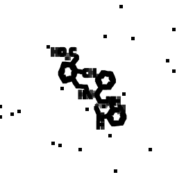 Cc1c(CCN[C@H](c2ccccc2)[C@H]2CNc3cccnc3N2)cccc1CC(=O)O